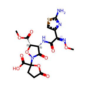 CO/N=C(\C(=O)N[C@@H]1C(=O)N(C2(C(=O)O)CCC(=O)O2)O[C@@H]1C(=O)OC)c1csc(N)n1